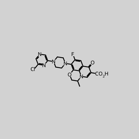 CC1COc2c(N3CCN(c4cncc(Cl)n4)CC3)c(F)cc3c(=O)c(C(=O)O)cn1c23